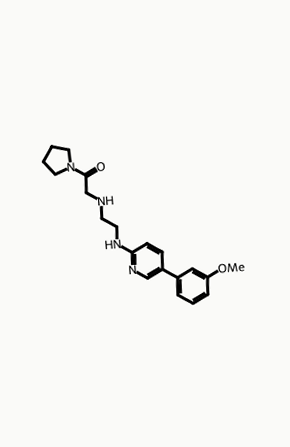 COc1cccc(-c2ccc(NCCNCC(=O)N3CCCC3)nc2)c1